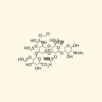 CC(=O)N[C@@H]1[C@@H](O)[C@H](O[C@@H]2O[C@H](C(=O)O)[C@@H](O[C@@H]3O[C@H](CO)[C@@H](O[C@H]4O[C@@H](C(=O)O)[C@H](O)[C@@H](O)[C@@H]4OS(=O)(=O)O)[C@H](OS(=O)(=O)O)[C@H]3NS(=O)(=O)O)[C@H](O)[C@H]2OS(=O)(=O)O)[C@H](COS(=O)(=O)O)O[C@H]1O.ClCCl